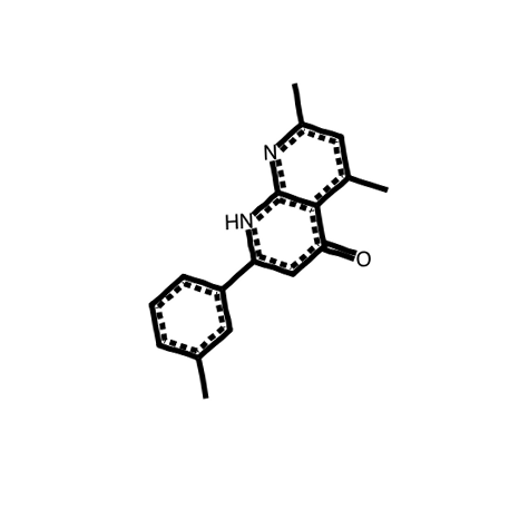 Cc1cccc(-c2cc(=O)c3c(C)cc(C)nc3[nH]2)c1